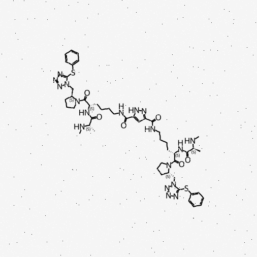 CN[C@@H](C)C(=O)N[C@@H](CCCCNC(=O)c1cc(C(=O)NCCCC[C@H](NC(=O)[C@H](C)NC)C(=O)N2CCC[C@H]2Cn2nnnc2Sc2ccccc2)[nH]n1)C(=O)N1CCC[C@H]1Cn1nnnc1Sc1ccccc1